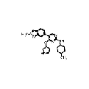 CC1CCC(Nc2ncc(-c3ccc4cn(C)nc4c3)c(OC3CCNC3)n2)CC1